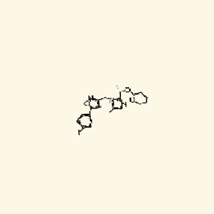 Cc1cnc([C@H](C)OC2CCCCO2)n1Cc1cc(-c2ccc(I)cc2)on1